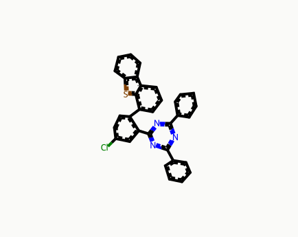 Clc1ccc(-c2cccc3c2sc2ccccc23)c(-c2nc(-c3ccccc3)nc(-c3ccccc3)n2)c1